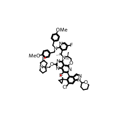 COc1ccc(CN(Cc2ccc(OC)cc2)c2ncc(F)cc2[C@@H](C)N2c3nc(OC[C@@]45CCCN4C[C@H](F)C5)nc4c(F)c(-c5c(C6(F)CC6)c(Cl)cc6c5cnn6C5CCCCO5)nc(c34)OC[C@@H]2C)cc1